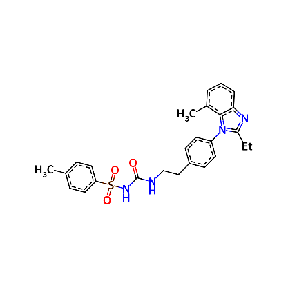 CCc1nc2cccc(C)c2n1-c1ccc(CCNC(=O)NS(=O)(=O)c2ccc(C)cc2)cc1